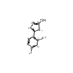 Fc1ccc(-c2nnc(S)s2)c(F)c1